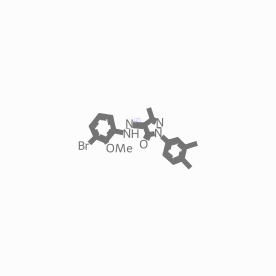 COc1c(Br)cccc1N/N=C1\C(=O)N(c2ccc(C)c(C)c2)N=C1C